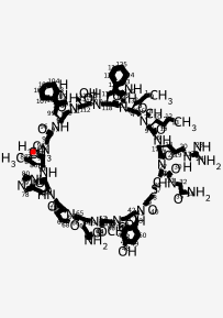 CCCC[C@H]1C(=O)N(C)[C@@H](CCCC)C(=O)N[C@@H](CCCNC(=N)N)C(=O)N[C@H](C(=O)NCC(N)=O)CSCC(=O)N[C@@H](Cc2ccc(O)cc2)C(=O)N(C)[C@@H](C)C(=O)N[C@@H](CC(N)=O)C(=O)N2CCC[C@H]2C(=O)N[C@@H](Cc2cnc[nH]2)C(=O)N[C@@H](CC(C)C)C(=O)N(C)CC(=O)N[C@@H](Cc2c[nH]c3ccccc23)C(=O)N[C@@H](CO)C(=O)N[C@@H](Cc2c[nH]c3ccccc23)C(=O)N1C